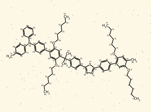 CCCCCCOc1cc(-c2ccc(-c3nnc(-c4ccc(C(C)(C)c5cc(OCCCCCC)c(-c6ccc(N(c7ccccc7)c7ccc(C)cc7)cc6)cc5OCCCCCC)cc4)s3)cc2)c(OCCCCCC)cc1C